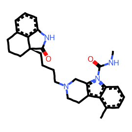 CNC(=O)n1c2c(c3c(C)cccc31)CCN(CCCC[C@@]13CCCc4cccc(c41)NC3=O)C2